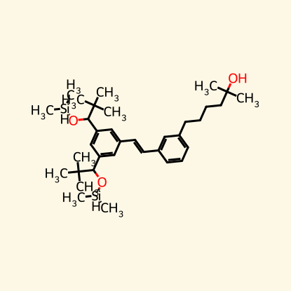 C[SiH](C)OC(c1cc(C=Cc2cccc(CCCCC(C)(C)O)c2)cc(C(O[SiH](C)C)C(C)(C)C)c1)C(C)(C)C